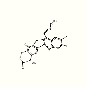 BO/N=C/c1c2c(nc3cc(F)c(C)cc13)-c1cc3c(c(=O)n1C2)COC(=O)[C@H]3OC